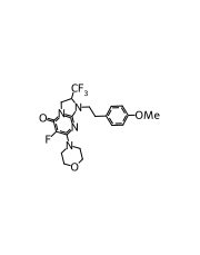 COc1ccc(CCN2c3nc(N4CCOCC4)c(F)c(=O)n3CC2C(F)(F)F)cc1